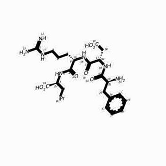 CC(C)C[C@H](NC(=O)[C@H](CCCNC(=N)N)NC(=O)[C@H](CC(=O)O)NC(=O)[C@@H](N)Cc1ccccc1)C(=O)O